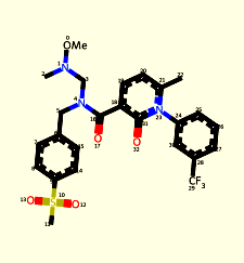 CON(C)CN(Cc1ccc(S(C)(=O)=O)cc1)C(=O)c1ccc(C)n(-c2cccc(C(F)(F)F)c2)c1=O